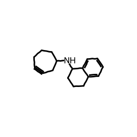 C1#CCC(NC2CCCc3ccccc32)CCC1